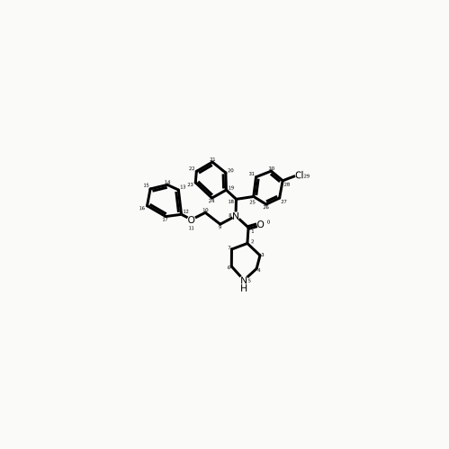 O=C(C1CCNCC1)N(CCOc1ccccc1)C(c1ccccc1)c1ccc(Cl)cc1